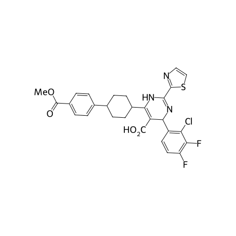 COC(=O)c1ccc(C2CCC(C3=C(C(=O)O)C(c4ccc(F)c(F)c4Cl)N=C(c4nccs4)N3)CC2)cc1